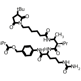 CC(C)C(=O)OCc1ccc(NC(=O)C(CCCNC(N)=O)NC(=O)[C@H](C(C)C)C(C)NC(=O)CCCCCN2C(=O)CC(C(C)(C)C)C2=O)cc1